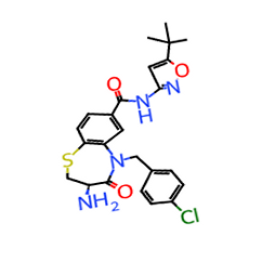 CC(C)(C)c1cc(NC(=O)c2ccc3c(c2)N(Cc2ccc(Cl)cc2)C(=O)[C@@H](N)CS3)no1